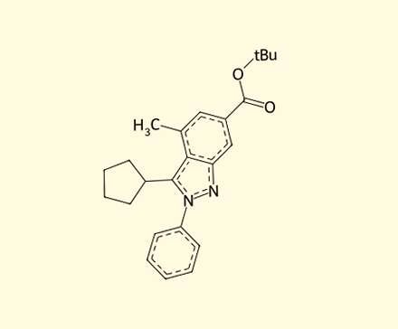 Cc1cc(C(=O)OC(C)(C)C)cc2nn(-c3ccccc3)c(C3CCCC3)c12